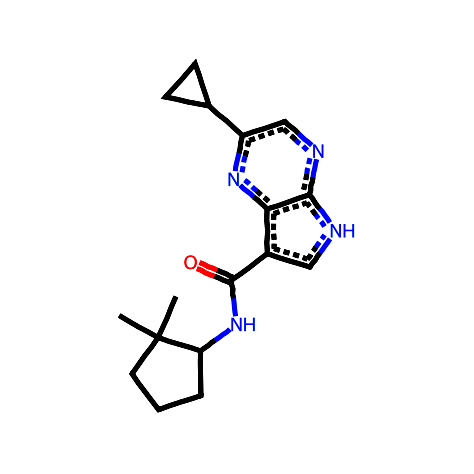 CC1(C)CCCC1NC(=O)c1c[nH]c2ncc(C3CC3)nc12